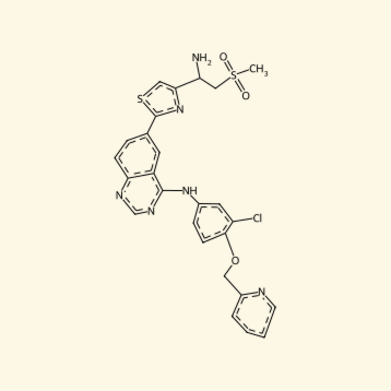 CS(=O)(=O)CC(N)c1csc(-c2ccc3ncnc(Nc4ccc(OCc5ccccn5)c(Cl)c4)c3c2)n1